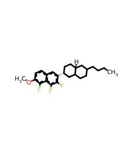 CCCCC1CCC2C[C@H](c3cc4ccc(OC)c(F)c4c(F)c3F)CC[C@@H]2C1